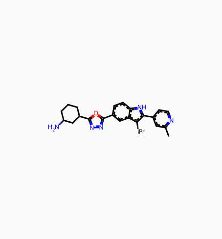 Cc1cc(-c2[nH]c3ccc(-c4nnc(C5CCCC(N)C5)o4)cc3c2C(C)C)ccn1